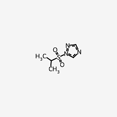 CC(C)S(=O)(=O)n1cncn1